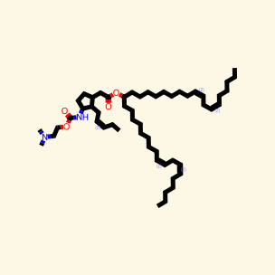 CC/C=C\CC1C(CC(=O)OC(CCCCCCCC/C=C\C/C=C\CCCCC)CCCCCCCC/C=C\C/C=C\CCCCC)CCC1NC(=O)OCCN(C)C